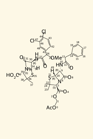 CC(=O)OCOC(=O)[C@@H]1N2C(=O)[C@@H](NC(=O)Cc3ccccc3)[C@H]2SC1(C)C.COC(C(=O)N[C@@H]1C(=O)N2[C@@H]1SC(C)(C)[C@@H]2C(=O)O)c1ccc(Cl)c(Cl)c1